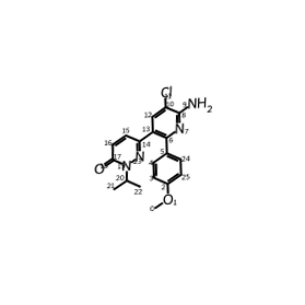 COc1ccc(-c2nc(N)c(Cl)cc2-c2ccc(=O)n(C(C)C)n2)cc1